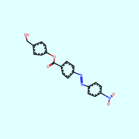 O=C(Oc1ccc(CO)cc1)c1ccc(N=Nc2ccc([N+](=O)[O-])cc2)cc1